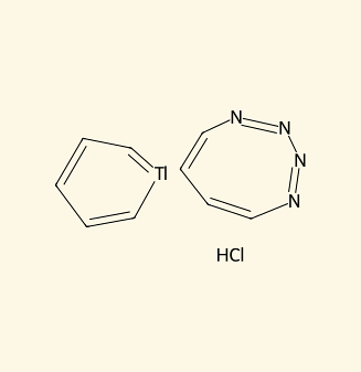 C1=CN=NN=NC=C1.C1=C[CH]=[Tl][CH]=C1.Cl